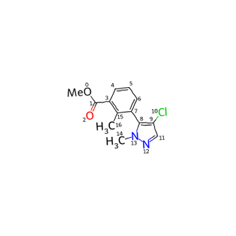 COC(=O)c1cccc(-c2c(Cl)cnn2C)c1C